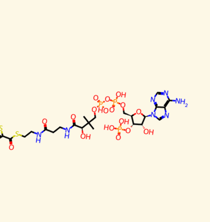 CC(C)(COP(=O)(O)OP(=O)(O)OC[C@H]1O[C@@H](n2cnc3c(N)ncnc32)[C@H](O)[C@@H]1OP(=O)(O)O)[C@@H](O)C(=O)NCCC(=O)NCCSC(=O)c1cccs1